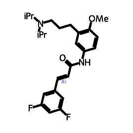 COc1ccc(NC(=O)/C=C/c2cc(F)cc(F)c2)cc1CCCN(C(C)C)C(C)C